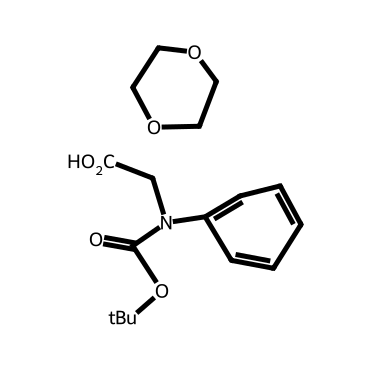 C1COCCO1.CC(C)(C)OC(=O)N(CC(=O)O)c1ccccc1